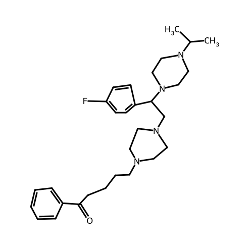 CC(C)N1CCN(C(CN2CCN(CCCCC(=O)c3ccccc3)CC2)c2ccc(F)cc2)CC1